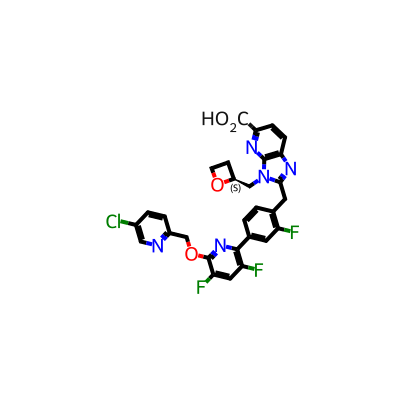 O=C(O)c1ccc2nc(Cc3ccc(-c4nc(OCc5ccc(Cl)cn5)c(F)cc4F)cc3F)n(C[C@@H]3CCO3)c2n1